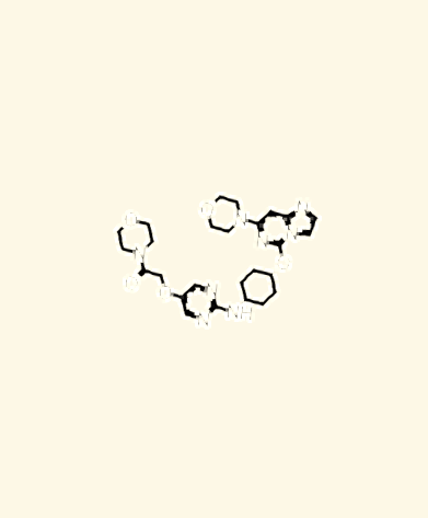 O=C(COc1cnc(N[C@H]2CC[C@@H](Oc3nc(N4CCOCC4)cc4nccn34)CC2)nc1)N1CCOCC1